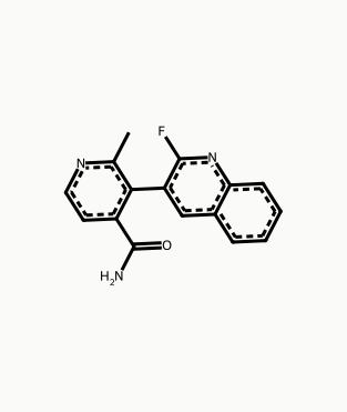 Cc1nccc(C(N)=O)c1-c1cc2ccccc2nc1F